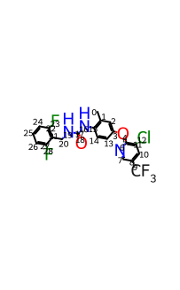 Cc1cc(Oc2ncc(C(F)(F)F)cc2Cl)ccc1NC(=O)NCc1c(F)cccc1F